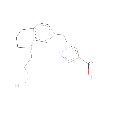 COCCN1CCCc2ccc(Cn3cc(C(=O)O)cn3)cc21